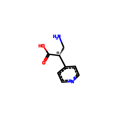 NC[C@@H](C(=O)O)c1ccncc1